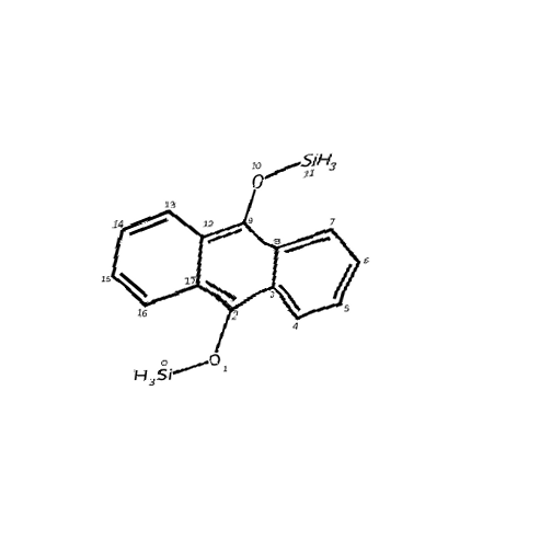 [SiH3]Oc1c2ccccc2c(O[SiH3])c2ccccc12